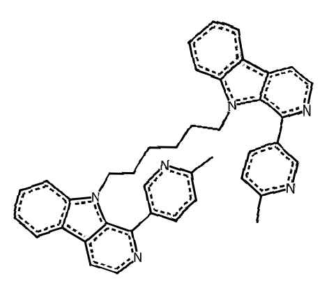 Cc1ccc(-c2nccc3c4ccccc4n(CCCCCCn4c5ccccc5c5ccnc(-c6ccc(C)nc6)c54)c23)cn1